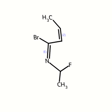 C/C=C\C(Br)=N/C(C)F